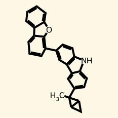 CC1(c2ccc3[nH]c4ccc(-c5cccc6c5oc5ccccc56)cc4c3c2)C2CC21